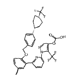 Cc1ccc(OCc2ccc([C@H]3CC[C@H](C(F)(F)F)CC3)cc2)c(-c2cccc(-n3ncc(OC(=O)O)c3C(F)(F)F)n2)c1